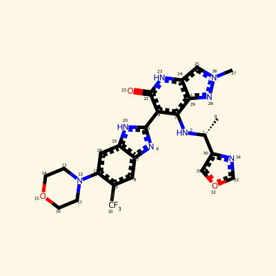 C[C@@H](Nc1c(-c2nc3cc(C(F)(F)F)c(N4CCOCC4)cc3[nH]2)c(=O)[nH]c2cn(C)nc12)c1cocn1